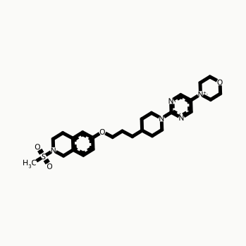 CS(=O)(=O)N1CCc2cc(OCCCC3CCN(c4ncc([N+]5CCOCC5)cn4)CC3)ccc2C1